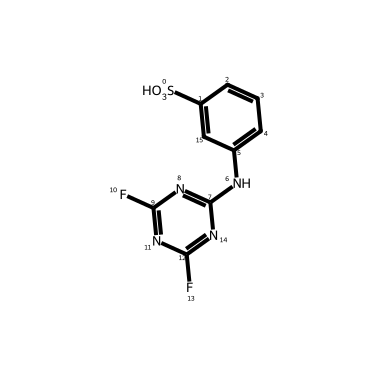 O=S(=O)(O)c1cccc(Nc2nc(F)nc(F)n2)c1